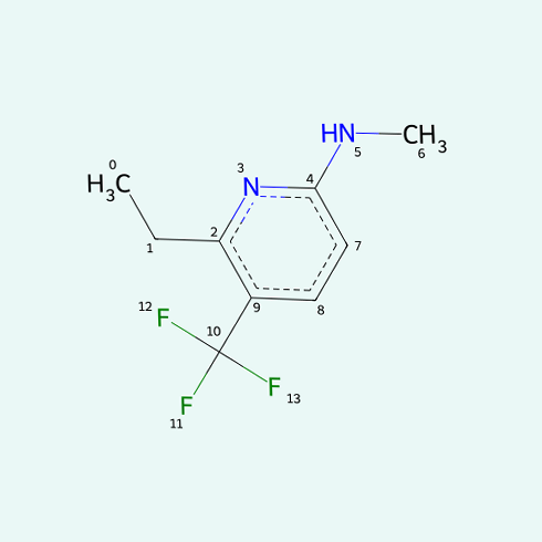 CCc1nc(NC)ccc1C(F)(F)F